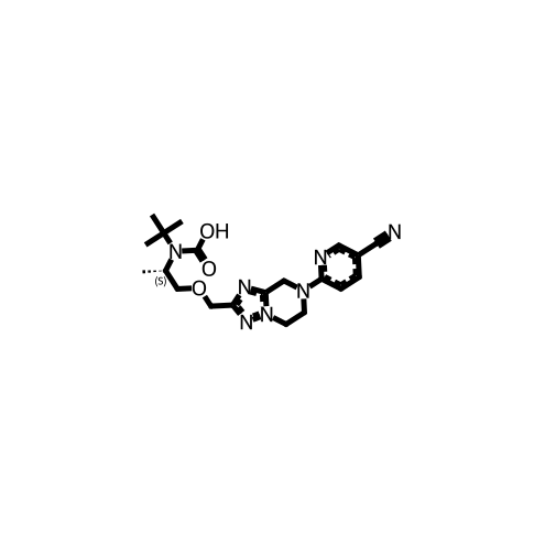 C[C@@H](COCc1nc2n(n1)CCN(c1ccc(C#N)cn1)C2)N(C(=O)O)C(C)(C)C